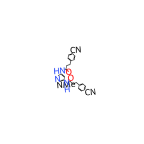 CNc1ncc(NC(=O)CCc2ccc(C#N)cc2)cc1NC(=O)CCc1ccc(C#N)cc1